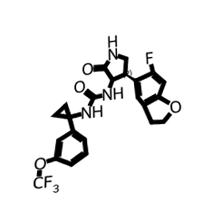 O=C(NC1C(=O)NC[C@H]1c1cc2c(cc1F)OCC2)NC1(c2cccc(OC(F)(F)F)c2)CC1